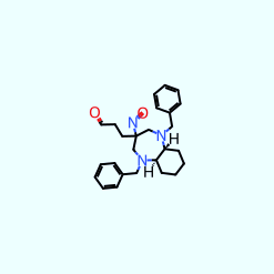 O=CCCC1(N=O)CN(Cc2ccccc2)[C@@H]2CCCC[C@H]2N(Cc2ccccc2)C1